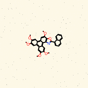 COc1cc2c3cc(OC)c(OC)cc3c3c(cc(OC)c4oc(-c5cccc6ccccc56)nc43)c2cc1OC